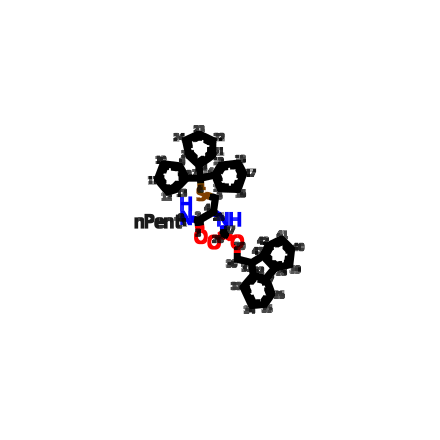 CCCCCNC(=O)C(CSC(c1ccccc1)(c1ccccc1)c1ccccc1)NC(=O)OCC1c2ccccc2-c2ccccc21